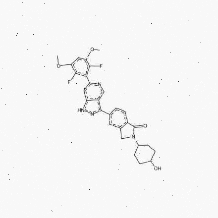 COc1cc(OC)c(F)c(-c2cc3[nH]nc(-c4ccc5c(c4)CN(C4CCC(O)CC4)C5=O)c3cn2)c1F